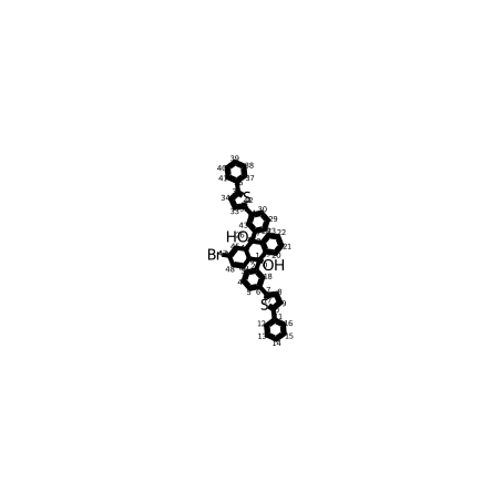 OC1(c2cccc(-c3ccc(-c4ccccc4)s3)c2)c2ccccc2C(O)(c2cccc(-c3ccc(-c4ccccc4)s3)c2)C2C=C(Br)C=CC21